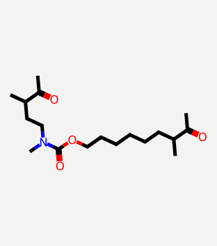 CC(=O)C(C)CCCCCCOC(=O)N(C)CCC(C)C(C)=O